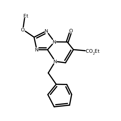 CCOC(=O)c1cn(Cc2ccccc2)c2nc(OCC)nn2c1=O